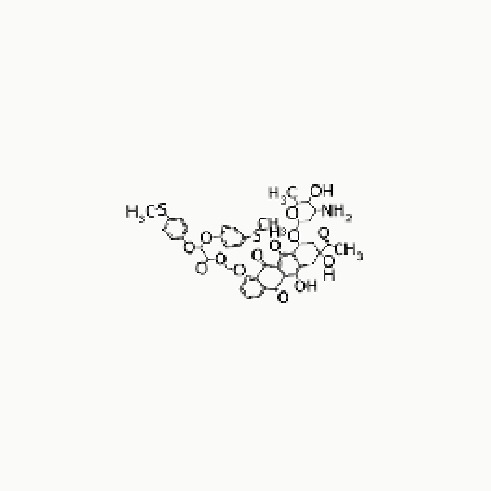 CSc1ccc(OC(Oc2ccc(SC)cc2)C(=O)OCOc2cccc3c2C(=O)c2c(O)c4c(c(O)c2C3=O)C[C@@](O)(C(C)=O)C[C@@H]4OC2CC(N)C(O)C(C)O2)cc1